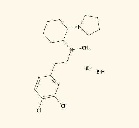 Br.Br.CN(CCc1ccc(Cl)c(Cl)c1)[C@@H]1CCCC[C@@H]1N1CCCC1